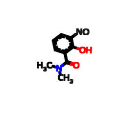 CN(C)C(=O)c1cccc(N=O)c1O